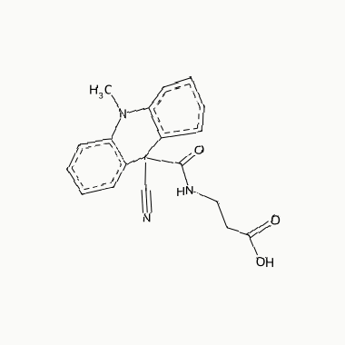 CN1c2ccccc2C(C#N)(C(=O)NCCC(=O)O)c2ccccc21